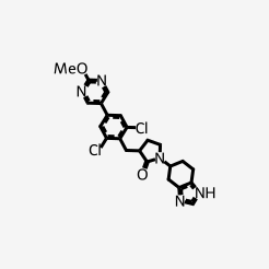 COc1ncc(-c2cc(Cl)c(CC3CCN(C4CCc5[nH]cnc5C4)C3=O)c(Cl)c2)cn1